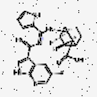 N=C(/N=C(/N[C@H]1C2CCC(CC2)[C@@H]1C(=O)O)c1ccc[nH]1)c1c[nH]c2ncc(F)cc12